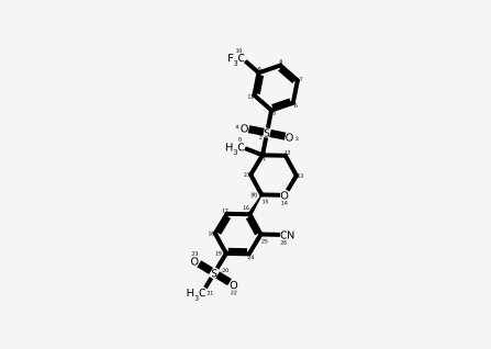 CC1(S(=O)(=O)c2cccc(C(F)(F)F)c2)CCO[C@@H](c2ccc(S(C)(=O)=O)cc2C#N)C1